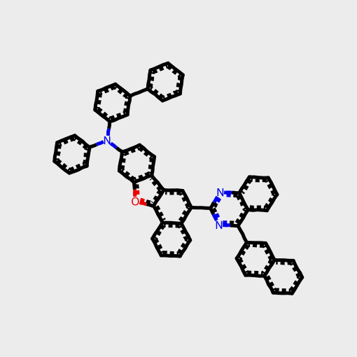 c1ccc(-c2cccc(N(c3ccccc3)c3ccc4c(c3)oc3c5ccccc5c(-c5nc(-c6ccc7ccccc7c6)c6ccccc6n5)cc43)c2)cc1